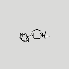 CC(C)(C)N1CCCN(c2cnccn2)CC1